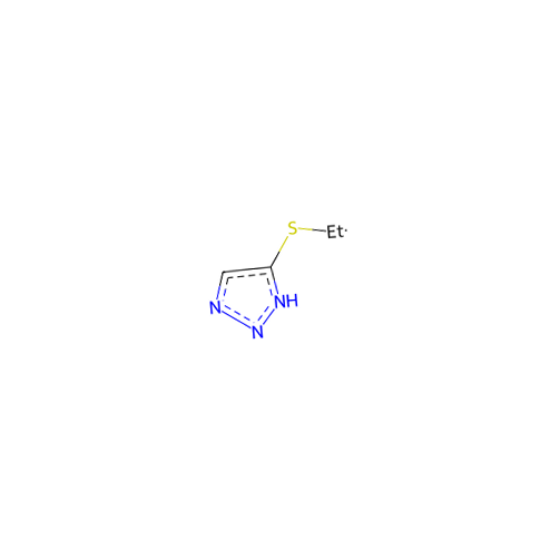 C[CH]Sc1cnn[nH]1